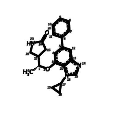 C[C@@H](Oc1cc(-c2ccccc2)cc2ncn(C3CC3)c12)C1CNC(=O)C1